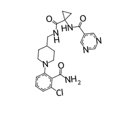 NC(=O)c1c(Cl)cccc1N1CCC(CNC(=O)C2(NC(=O)c3cncnc3)CC2)CC1